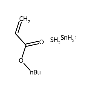 C=CC(=O)OCCCC.S.[SnH2]